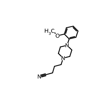 COc1ccccc1N1CCN(CCCC#N)CC1